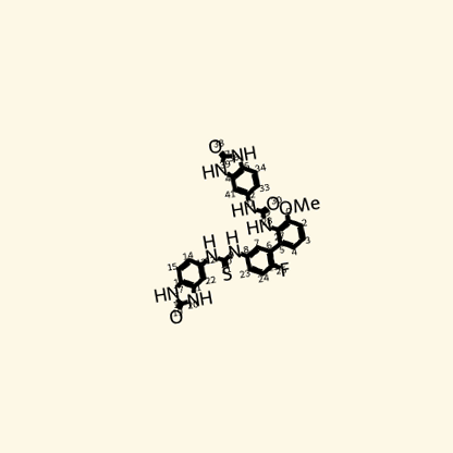 COc1cccc(-c2cc(NC(=S)Nc3ccc4[nH]c(=O)[nH]c4c3)ccc2F)c1NC(=O)Nc1ccc2[nH]c(=O)[nH]c2c1